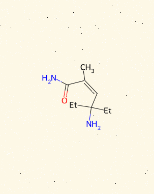 CCC(N)(C=C(C)C(N)=O)CC